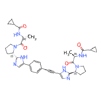 C[C@@H](NC(=O)C1CC1)C(=O)N1CCC[C@H]1c1ncc(C#Cc2ccc(-c3cnc([C@@H]4CCCN4C(=O)[C@@H](C)NC(=O)C4CC4)[nH]3)cc2)[nH]1